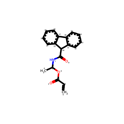 C=CC(=O)OC(C)NC(=O)C1c2ccccc2-c2ccccc21